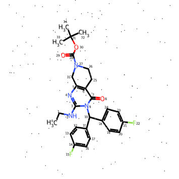 CCNc1nc2c(c(=O)n1C(c1ccc(F)cc1)c1ccc(F)cc1)CCN(C(=O)OC(C)(C)C)C2